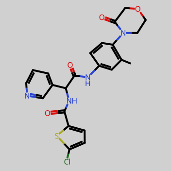 Cc1cc(NC(=O)C(NC(=O)c2ccc(Cl)s2)c2cccnc2)ccc1N1CCOCC1=O